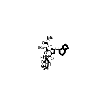 C=C[C@@](CC)(NC(=O)[C@@H]1C[C@@H](Oc2cccc3ccccc23)CN1C(=O)[C@@H](NC(=O)OC(C)(C)C)C(C)(C)C)C(=O)NS(C)(=O)=O